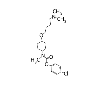 CN(C)CCCCO[C@H]1CC[C@H](N(C)C(=O)Oc2ccc(Cl)cc2)CC1